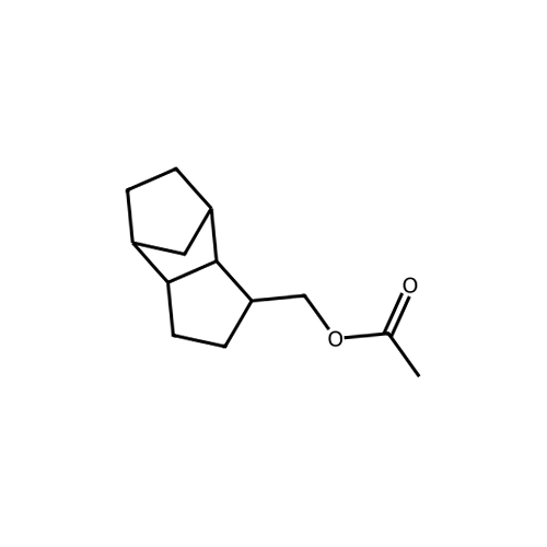 CC(=O)OCC1CCC2C3CCC(C3)C12